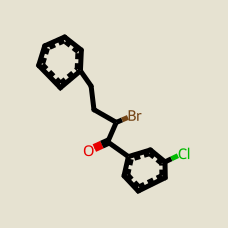 O=C(c1cccc(Cl)c1)C(Br)CCc1ccccc1